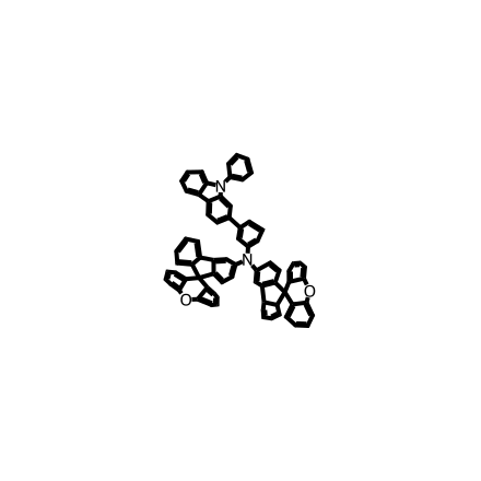 C1=CC2c3cc(N(c4cccc(-c5ccc6c7ccccc7n(-c7ccccc7)c6c5)c4)c4ccc5c(c4)-c4ccccc4C54c5ccccc5Oc5ccccc54)ccc3C3(c4ccccc4Oc4ccccc43)C2C=C1